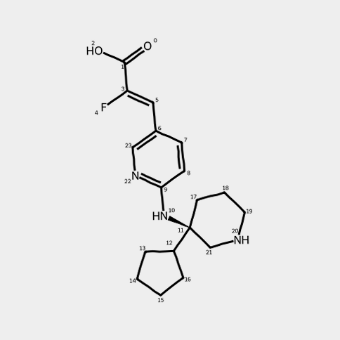 O=C(O)/C(F)=C/c1ccc(N[C@@]2(C3CCCC3)CCCNC2)nc1